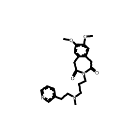 COc1cc2c(cc1OC)CC(=O)N(CCCN(C)CCc1cccnc1)C(=O)C2